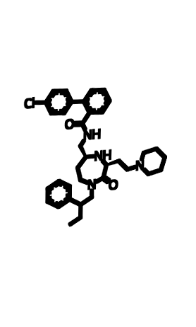 CCC(CN1CC[C@@H](CNC(=O)c2ccccc2-c2ccc(Cl)cc2)N[C@@H](CCN2CCCCC2)C1=O)c1ccccc1